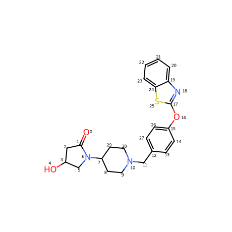 O=C1CC(O)CN1C1CCN(Cc2ccc(Oc3nc4ccccc4s3)cc2)CC1